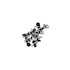 CC[C@H](C)[C@H](NC(=O)CNC(=O)[C@H](Cc1ccccc1)NC(=O)CNC(=O)CNC(=O)[C@H](CO)NC(=O)[C@H](CO)NC(=O)[C@@H](NC(=O)[C@@H]1CCCN1C(=O)[C@@H](N)C(C)C)[C@@H](C)CC)C(=O)N[C@@H](CO)C(=O)NCC(=O)N[C@@H](CC(C)C)C(=O)NCC(=O)N[C@@H](CO)C(=O)N[C@@H](CCCNC(=N)N)C(=O)N[C@@H](Cc1ccccc1)C(=O)O